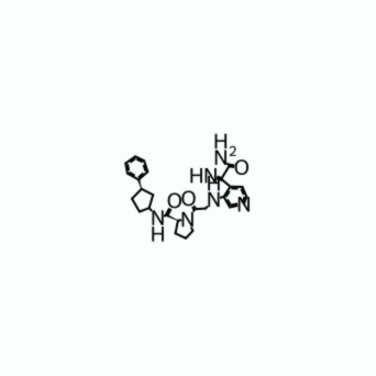 N=C(C(N)=O)c1ccncc1NCC(=O)N1CCC[C@H]1C(=O)NC1CC[C@@H](c2ccccc2)C1